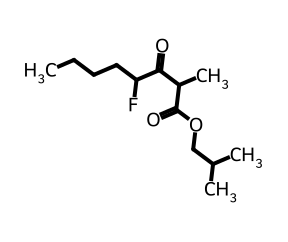 CCCCC(F)C(=O)C(C)C(=O)OCC(C)C